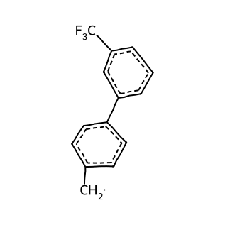 [CH2]c1ccc(-c2cccc(C(F)(F)F)c2)cc1